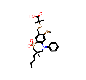 CCCC[C@@]1(C)CN(c2ccccc2)c2cc(SC)c(CSC(C)(C)C(=O)O)cc2S(=O)(=O)C1